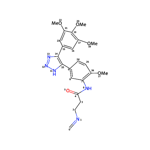 C=NCCC(=O)Nc1cc(-c2[nH]nnc2-c2cc(OC)c(OC)c(OC)c2)ccc1OC